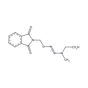 CN(CC(=O)O)/N=N/OCN1C(=O)c2ccccc2C1=O